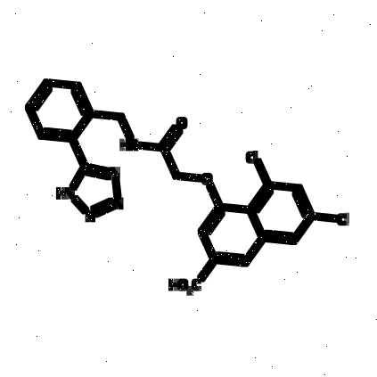 O=C(COc1cc(C(=O)O)cc2cc(Cl)cc(Cl)c12)NCc1ccccc1-c1nnn[nH]1